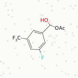 CC(=O)OC(O)c1cc(F)cc(C(F)(F)F)c1